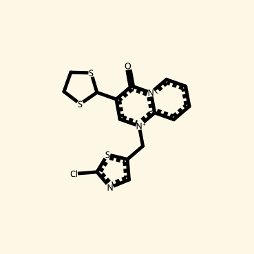 O=c1c(C2SCCS2)c[n+](Cc2cnc(Cl)s2)c2ccccn12